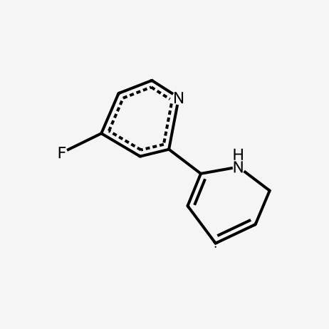 Fc1ccnc(C2=C[C]=CCN2)c1